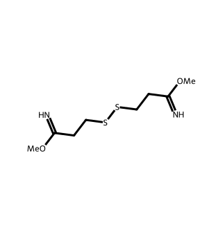 COC(=N)CCSSCCC(=N)OC